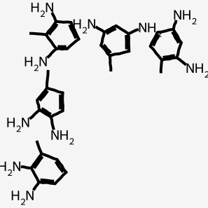 Cc1c(N)cccc1N.Cc1cc(N)cc(N)c1.Cc1ccc(N)c(N)c1.Cc1ccc(N)cc1N.Cc1cccc(N)c1N